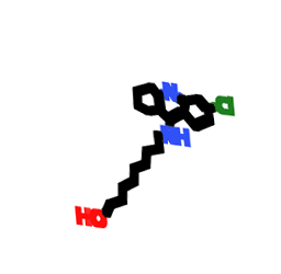 OCCCCCCCCCCNc1c2c(nc3cc(Cl)ccc13)CCCC2